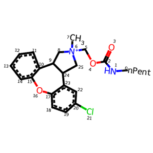 CCCCCNC(=O)OC[N+]1(C)CC2c3ccccc3Oc3ccc(Cl)cc3C2C1